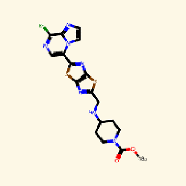 CC(C)(C)OC(=O)N1CCC(NCc2nc3sc(-c4cnc(Br)c5nccn45)nc3s2)CC1